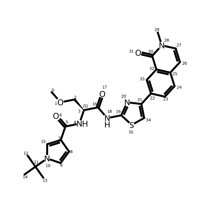 COC[C@H](NC(=O)c1ccn(C(C)(C)C)c1)C(=O)Nc1nc(-c2ccc3ccn(C)c(=O)c3c2)cs1